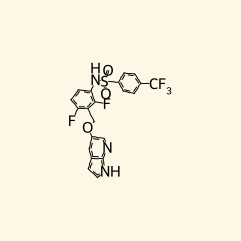 O=S(=O)(Nc1ccc(F)c(COc2cnc3[nH]ccc3c2)c1F)c1ccc(C(F)(F)F)cc1